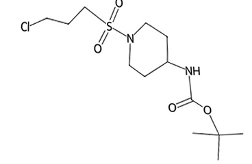 CC(C)(C)OC(=O)NC1CCN(S(=O)(=O)CCCCl)CC1